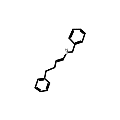 C(=C\NCc1ccccc1)/CCc1ccccc1